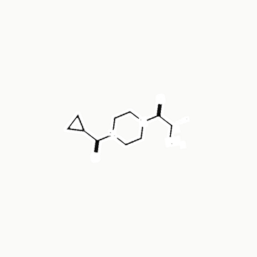 C[C@H](N)C(=O)N1CCN(C(=O)C2CC2)CC1